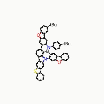 CC(C)(C)c1ccc(N2B3c4cc5c(cc4-n4c6cc7c(cc6c6ccc(c3c64)-c3cc4oc6ccc(C(C)(C)C)cc6c4cc32)sc2ccccc27)oc2ccccc25)cc1